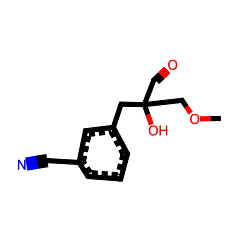 COCC(O)(C=O)Cc1cccc(C#N)c1